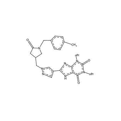 CCCn1c(=O)c2[nH]c(-c3cnn(CC4CC(=O)N(Cc5ccc(C)cc5)C4)c3)nc2n(CCC)c1=O